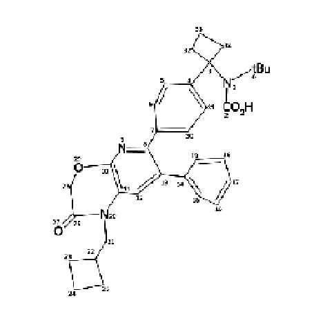 CC(C)(C)N(C(=O)O)C1(c2ccc(-c3nc4c(cc3-c3ccccc3)N(CC3CCC3)C(=O)CO4)cc2)CCC1